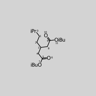 CC(C)CCC(CC(=O)OCC(C)C)CC(=O)OCC(C)C